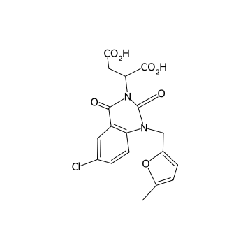 Cc1ccc(Cn2c(=O)n(C(CC(=O)O)C(=O)O)c(=O)c3cc(Cl)ccc32)o1